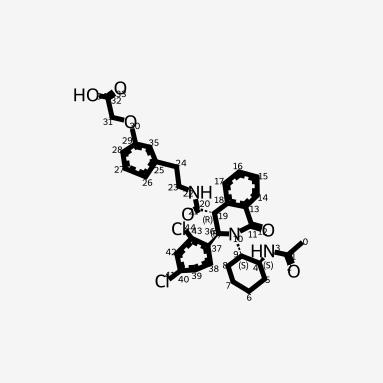 CC(=O)N[C@H]1CCCC[C@@H]1N1C(=O)c2ccccc2[C@@H](C(=O)NCCc2cccc(OCC(=O)O)c2)[C@@H]1c1ccc(Cl)cc1Cl